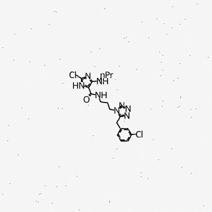 CCCNc1nc(Cl)[nH]c1C(=O)NCCCn1nnnc1Cc1cccc(Cl)c1